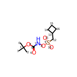 CC(C)(C)OC(=O)NOS(=O)(=O)CC1CCC1